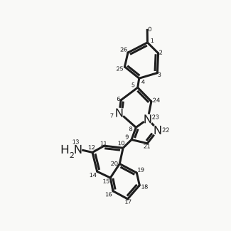 Cc1ccc(-c2cnc3c(-c4cc(N)cc5ccccc45)cnn3c2)cc1